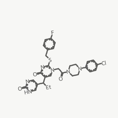 CCC(c1cnc(=O)[nH]c1)c1cn(CC(=O)N2CCN(c3ccc(Cl)cc3)CC2)c(SCc2ccc(F)cc2)nc1=O